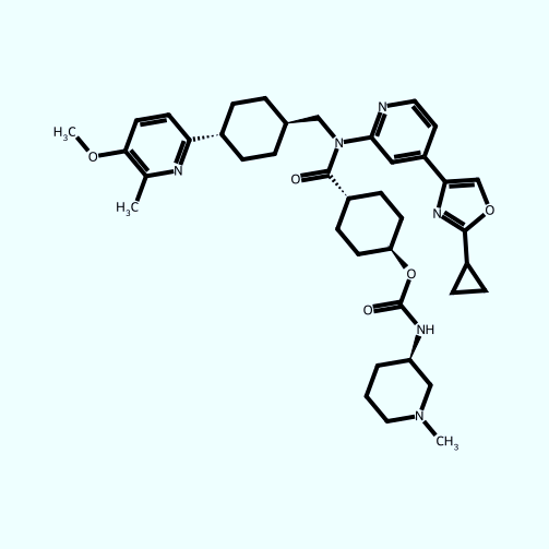 COc1ccc([C@H]2CC[C@H](CN(c3cc(-c4coc(C5CC5)n4)ccn3)C(=O)[C@H]3CC[C@H](OC(=O)N[C@@H]4CCCN(C)C4)CC3)CC2)nc1C